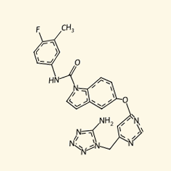 Cc1cc(NC(=O)n2ccc3cc(Oc4cc(Cn5nnnc5N)ncn4)ccc32)ccc1F